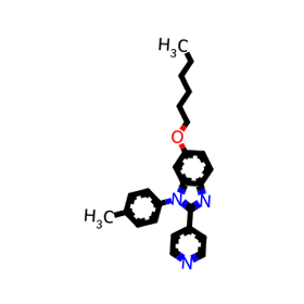 CCCCCCOc1ccc2nc(-c3ccncc3)n(-c3ccc(C)cc3)c2c1